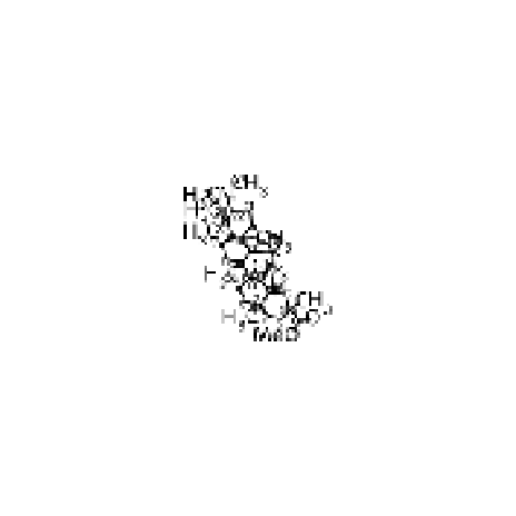 COC(=O)[C@@]1(C)CC[C@]2(C)CC[C@]3(C)C(=CC(=O)C4[C@@]5(C)CCC(N(C)C)C(C)(C)C5CC[C@]43C)[C@@H]2C1